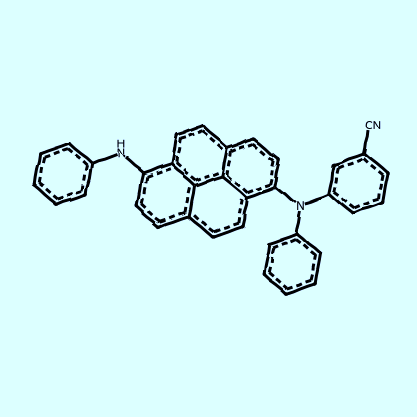 N#Cc1cccc(N(c2ccccc2)c2ccc3ccc4c(Nc5ccccc5)ccc5ccc2c3c54)c1